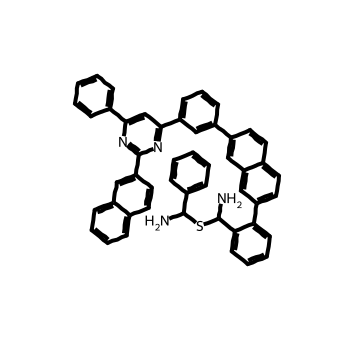 NC(SC(N)c1ccccc1-c1ccc2ccc(-c3cccc(-c4cc(-c5ccccc5)nc(-c5ccc6ccccc6c5)n4)c3)cc2c1)c1ccccc1